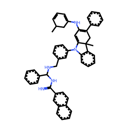 CC1C=CC=C(NC2=C(c3ccccc3)CC3(C)C(=C2)N(c2cccc(CNC(NC(=N)c4ccc5ccccc5c4)c4ccccc4)c2)c2ccccc23)C1